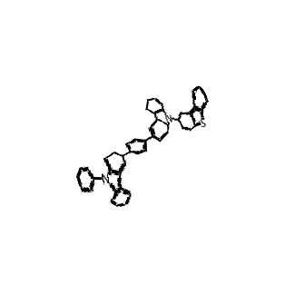 C1=CC2=C(CC1)C1C=C(c3ccc(C4C=c5c(n(-c6ccccc6)c6ccccc56)=CC4)cc3)C=CC1N2C1C=Cc2sc3ccccc3c2C1